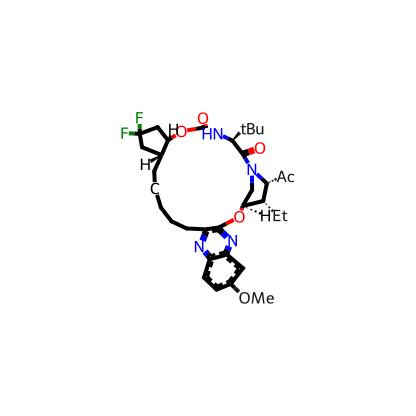 CC[C@@H]1[C@@H]2CN(C(=O)[C@H](C(C)(C)C)NC(=O)O[C@@H]3CC(F)(F)C[C@H]3CCCCCc3nc4ccc(OC)cc4nc3O2)[C@@H]1C(C)=O